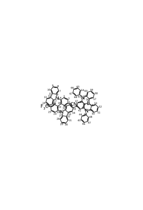 N#Cc1ccc(-n2c3ccccc3c3ccccc32)c(-c2cc(C(F)(F)F)ccc2-n2c3ccccc3c3cc(-c4cc5c6c(c4)N(c4ccccc4)c4ccccc4B6c4ccccc4N5c4ccccc4)ccc32)c1